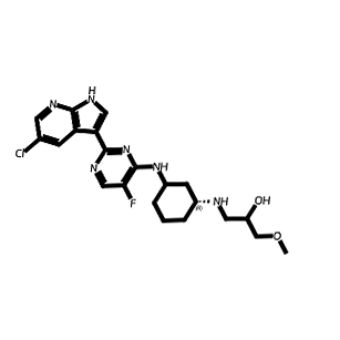 COCC(O)CN[C@@H]1CCCC(Nc2nc(-c3c[nH]c4ncc(Cl)cc34)ncc2F)C1